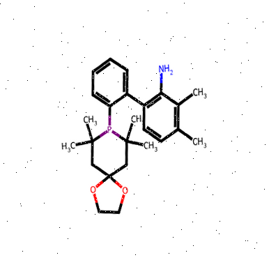 Cc1ccc(-c2ccccc2P2C(C)(C)CC3(CC2(C)C)OCCO3)c(N)c1C